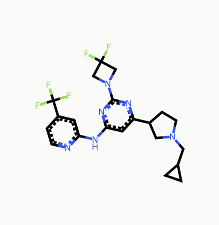 FC1(F)CN(c2nc(Nc3cc(C(F)(F)F)ccn3)cc(C3CCN(CC4CC4)C3)n2)C1